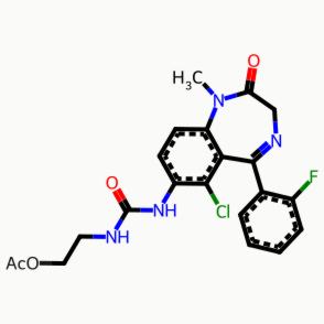 CC(=O)OCCNC(=O)Nc1ccc2c(c1Cl)C(c1ccccc1F)=NCC(=O)N2C